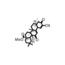 COC(=O)[C@]12CCC(C)(C)CC1[C@@]1(O)C(=O)C=C3C4C=C(C#N)C(=O)[C@@H](C)[C@@H]4CC[C@@]3(C)[C@]1(C)CC2